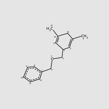 CC1=CC(COCc2ccccc2)C=C(C)C1